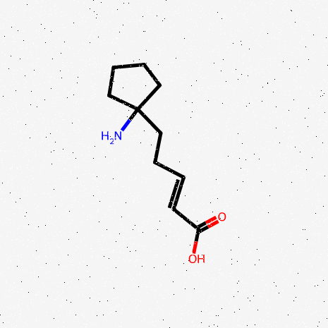 NC1(CC/C=C/C(=O)O)CCCC1